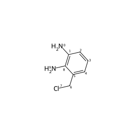 Nc1cccc(CCl)c1N